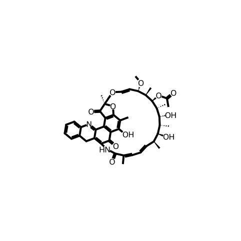 CO[C@H]1/C=C/O[C@@]2(C)Oc3c(C)c(O)c4c(c3C2=O)C2=Nc3ccccc3CC2=C(NC(=O)/C(C)=C\C=C\[C@H](C)[C@H](O)[C@@H](C)[C@@H](O)[C@@H](C)[C@H](OC(C)=O)[C@@H]1C)C4=O